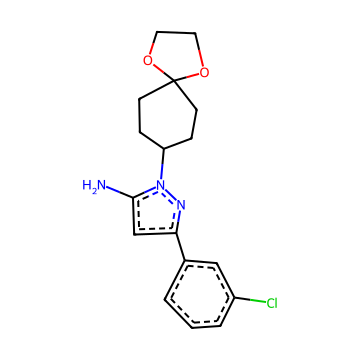 Nc1cc(-c2cccc(Cl)c2)nn1C1CCC2(CC1)OCCO2